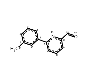 Cc1cccc(-c2cccc(C=O)n2)c1